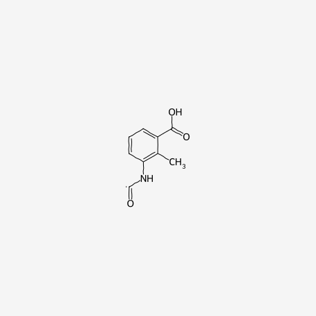 Cc1c(N[C]=O)cccc1C(=O)O